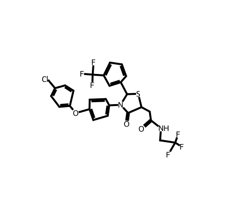 O=C(CC1SC(c2cccc(C(F)(F)F)c2)N(c2ccc(Oc3ccc(Cl)cc3)cc2)C1=O)NCC(F)(F)F